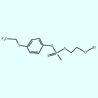 CCOCCSP(C)(=S)Oc1ccc(SCC(F)(F)F)cc1